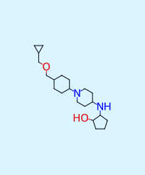 OC1CCCC1NC1CCN(C2CCC(COCC3CC3)CC2)CC1